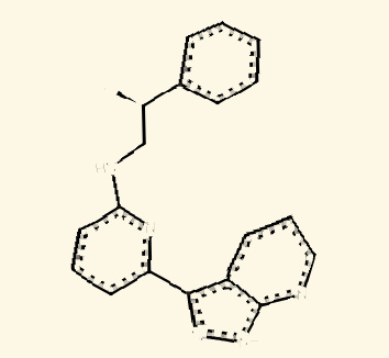 O[C@H](CNc1cccc(-c2n[nH]c3ncccc23)n1)c1ccccc1